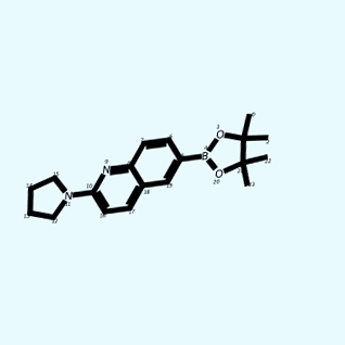 CC1(C)OB(c2ccc3nc(N4CCCC4)ccc3c2)OC1(C)C